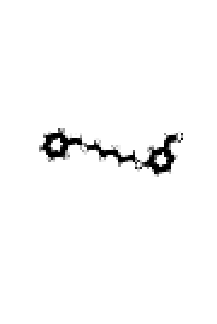 O=Cc1cccc(OCCCCCOCc2ccccc2)c1